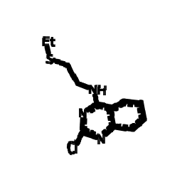 CCSCCNc1nc(Cl)nc2ccccc12